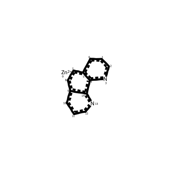 [Zn+2].c1cnc2c(c1)ccc1cccnc12